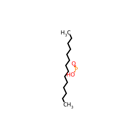 CCCCCCCCCCCCCC.O=PO